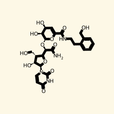 NC(=O)[C@H](O[C@H]1OC(C(=O)NCCc2ccccc2CO)=C[C@H](O)[C@@H]1O)C1O[C@@H](n2ccc(=O)[nH]c2=O)[C@H](O)[C@@H]1CO